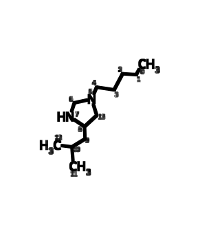 CCCCCN1CNC(CC(C)C)C1